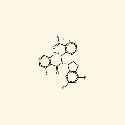 NC(=O)c1ncccc1CN(C(=O)c1c(O)cccc1F)[C@@H]1CCc2c(F)cc(Cl)cc21